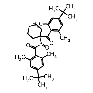 Cc1cc(C(C)(C)C)cc(C)c1C(=O)[P](=O)C1(C(=O)c2c(C)cc(C(C)(C)C)cc2C)CCCCC1